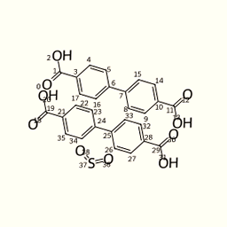 O=C(O)c1ccc(-c2ccc(C(=O)O)cc2)cc1.O=C(O)c1ccc(-c2ccc(C(=O)O)cc2)cc1.O=S=O